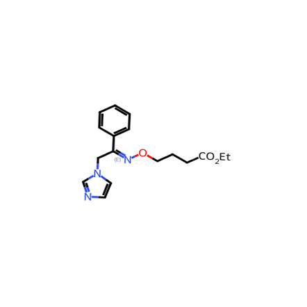 CCOC(=O)CCCO/N=C(/Cn1ccnc1)c1ccccc1